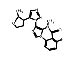 CC1OCCC1c1cnnn1-c1ncn2c3cccc(F)c3c(=O)n(C)c12